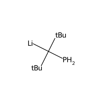 [Li][C](P)(C(C)(C)C)C(C)(C)C